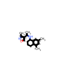 C=C(NC1CCCc2c(C)cc(C)cc21)c1conc1C